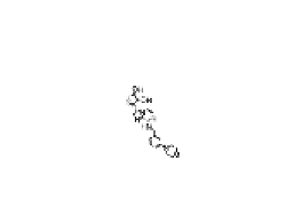 O[C@@H]1[C@H](O)CS[C@H]1c1cnc2c(NCc3cccc(N4CCOCC4)c3)nccn12